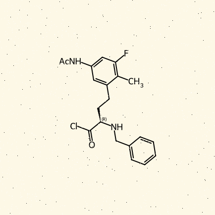 CC(=O)Nc1cc(F)c(C)c(CC[C@@H](NCc2ccccc2)C(=O)Cl)c1